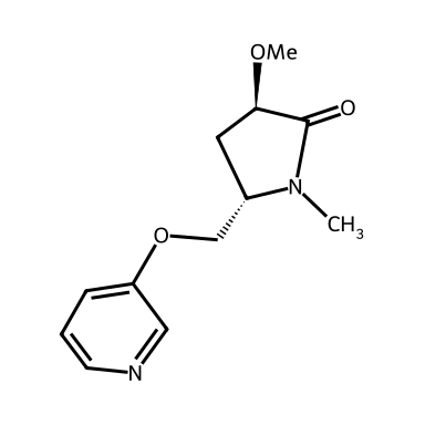 CO[C@@H]1C[C@@H](COc2cccnc2)N(C)C1=O